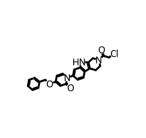 O=C(CCl)N1CCc2c([nH]c3cc(-n4ccc(OCc5ccccc5)cc4=O)ccc23)C1